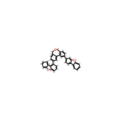 c1ccc2c(c1)oc1cc(-c3ccc4c(c3)-c3cc(-c5cccc6oc7ccccc7c56)ccc3COC4)ccc12